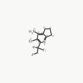 CCc1c(C(F)(F)CF)nc2c(c1N)CCC2